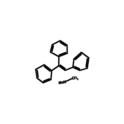 C(=C(c1ccccc1)c1ccccc1)c1ccccc1.CNC